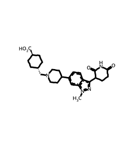 Cn1nc(C2CCC(=O)NC2=O)c2ccc(C3CCN(C[C@H]4CC[C@H](C(=O)O)CC4)CC3)cc21